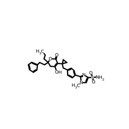 CCCC1(CCc2ccccc2)CC(O)=C(C2(Cc3ccc(-c4nc(S(N)(=O)=O)cn4C)cc3)CC2)C(=O)O1